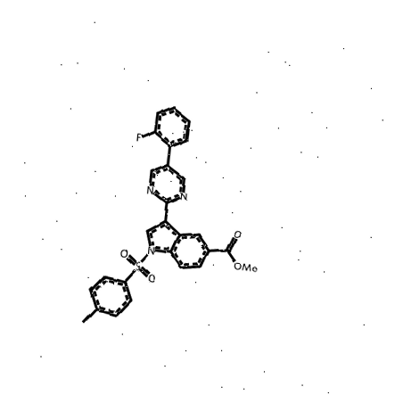 COC(=O)c1ccc2c(c1)c(-c1ncc(-c3ccccc3F)cn1)cn2S(=O)(=O)c1ccc(C)cc1